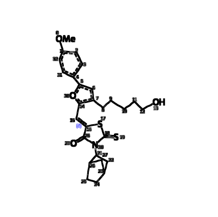 COc1ccc(-c2cc(CCCCCO)c(/C=C3\SC(=S)N(C4CC5CCC4C5)C3=O)o2)cc1